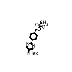 CCCCCCc1cnc([C@H]2CC[C@H](COS(C)(=O)=O)CC2)nc1